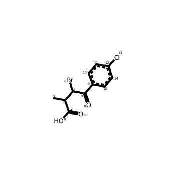 CC(C(=O)O)C(Br)C(=O)c1ccc(Cl)cc1